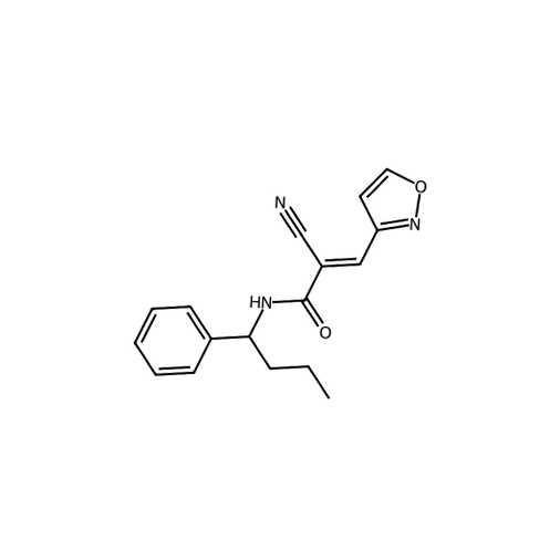 CCCC(NC(=O)/C(C#N)=C/c1ccon1)c1ccccc1